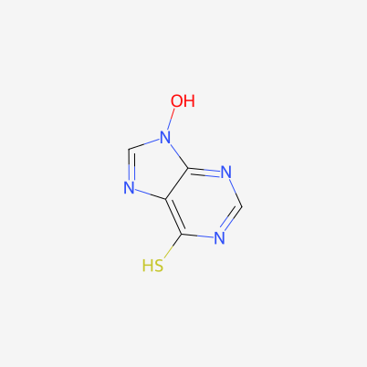 On1cnc2c(S)ncnc21